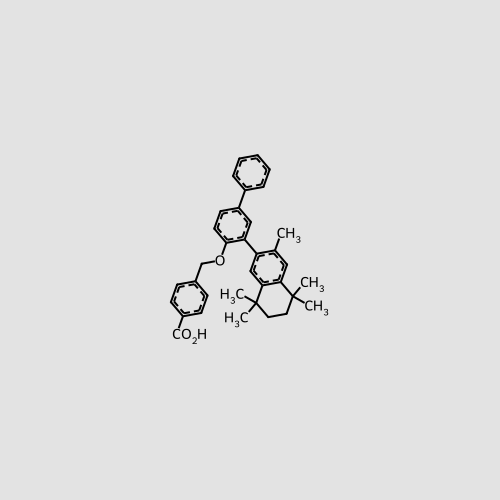 Cc1cc2c(cc1-c1cc(-c3ccccc3)ccc1OCc1ccc(C(=O)O)cc1)C(C)(C)CCC2(C)C